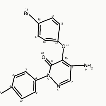 Cc1ccc(-n2ncc(N)c(Oc3ccc(Br)cc3)c2=O)cc1